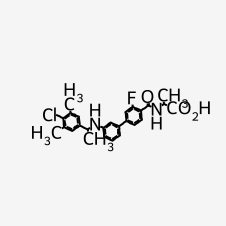 Cc1cc(C(C)Nc2cccc(-c3ccc(C(=O)NC(C)C(=O)O)c(F)c3)c2)cc(C)c1Cl